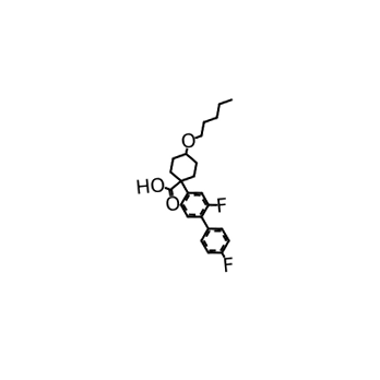 CCCCCOC1CCC(C(=O)O)(c2ccc(-c3ccc(F)cc3)c(F)c2)CC1